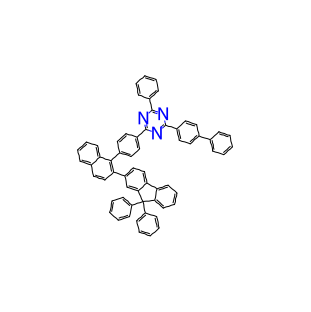 c1ccc(-c2ccc(-c3nc(-c4ccccc4)nc(-c4ccc(-c5c(-c6ccc7c(c6)C(c6ccccc6)(c6ccccc6)c6ccccc6-7)ccc6ccccc56)cc4)n3)cc2)cc1